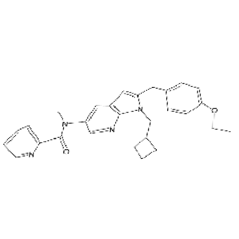 CCOc1ccc(Cc2cc3cc(N(C)C(=O)c4ccccn4)cnc3n2CC2CCC2)cc1